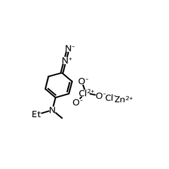 CCN(C)C1=CCC(=[N+]=[N-])C=C1.[Cl-].[O-][Cl+2]([O-])[O-].[Zn+2]